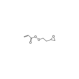 C=CC(=O)OOCCC1CO1